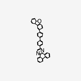 C1=CC2Oc3ccc(-c4ccc(-c5ccc(-c6cnc7c8ccccc8c8ccccc8c7n6)cc5)cc4)cc3C2C=C1